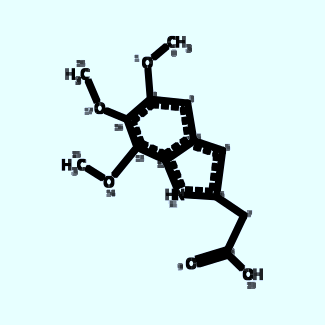 COc1cc2cc(CC(=O)O)[nH]c2c(OC)c1OC